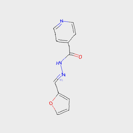 O=C(N/N=C/c1ccco1)c1ccncc1